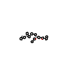 c1ccc(-c2ccc(N(c3ccc(-c4ccc(-c5cccc6ccccc56)cc4)cc3)c3cccc(-c4cccc(-c5cccc6c5c5ccccc5n6-c5ccc6c(c5)oc5ccccc56)c4)c3)cc2)cc1